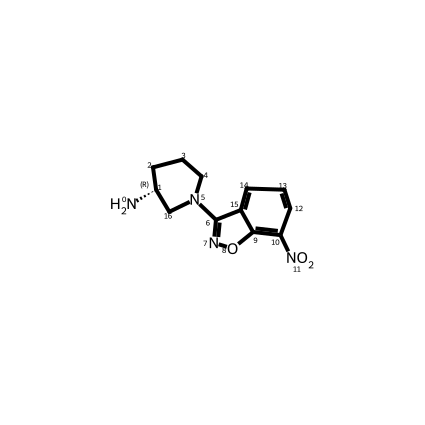 N[C@@H]1CCCN(c2noc3c([N+](=O)[O-])cccc23)C1